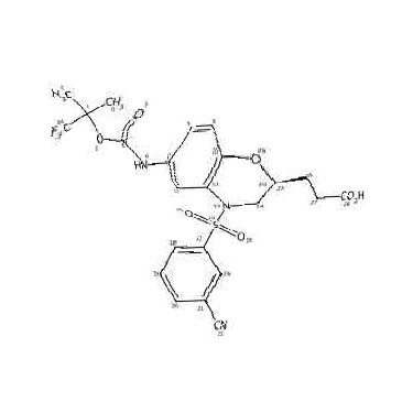 CC(C)(OC(=O)Nc1ccc2c(c1)N(S(=O)(=O)c1cccc(C#N)c1)C[C@H](CCC(=O)O)O2)C(F)(F)F